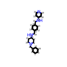 c1ccc(CN2CCC(NCc3ccc(CNc4ccncc4)cc3)CC2)cc1